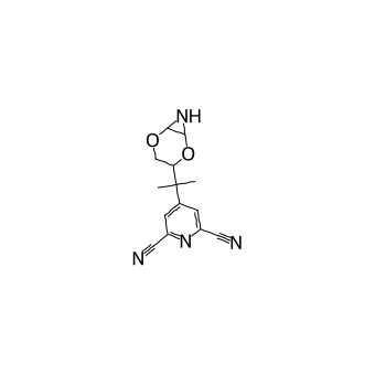 CC(C)(c1cc(C#N)nc(C#N)c1)C1COC2NC2O1